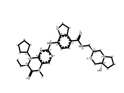 CC[C@@H]1C(=O)N(C)c2cnc(Nc3ccc(C(=O)NC[C@H]4CN5CCC[C@H]5CO4)c4c3OCC4)nc2N1C1CCCC1